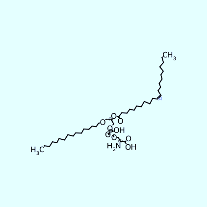 CCCCCCCCCC/C=C\CCCCCCCCCC(=O)O[C@H](COCCCCCCCCCCCCCCCC)COP(=O)(O)OC[C@H](N)C(=O)O